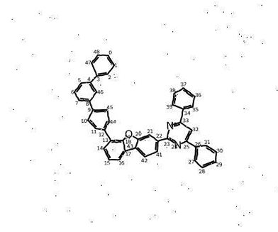 c1ccc(-c2cccc(-c3ccc(-c4cccc5c4oc4cc(-c6nc(-c7ccccc7)cc(-c7ccccc7)n6)ccc45)cc3)c2)cc1